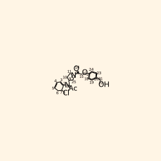 CC(=O)N(C1=CC=CCC1Cl)C1CCN(C(=O)COc2ccc(CO)cc2)C1